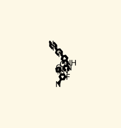 COc1cc(N2CCC(N3CCN(C)CC3)CC2)ccc1Nc1cc(N2OCC[C@H]2c2cc(F)cc(C#N)c2)ncn1